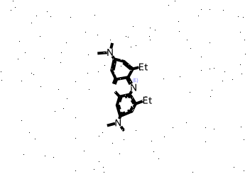 C=C1C=C(N(C)C)C=C(CC)/C1=N/c1c(C)cc(N(C)C)cc1CC